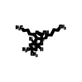 CCCCOC[C@@]1(C(=O)O)O[C@@H]2OC(C)(C)O[C@H]2C1OCCCC